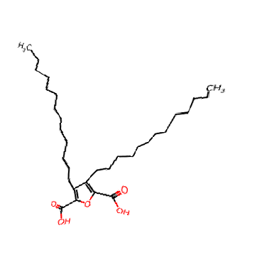 CCCCCCCCCCCCCc1c(C(=O)O)oc(C(=O)O)c1CCCCCCCCCCCCC